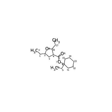 CCC1CC(C(=O)OC2(CC)CCCCC2)C(CC)O1